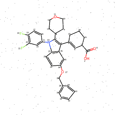 O=C(O)C1C=C(c2c(C3CCOCC3)n(-c3ccc(F)c(F)c3)c3ccc(OCc4ccccc4)cc23)CCC1